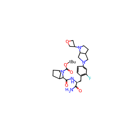 CC(C)(C)OC(=O)N1C2CCC(C2)C1C(=O)N[C@@H](Cc1ccc(N2CC3CCN(C4COC4)C3C2)cc1F)C(N)=O